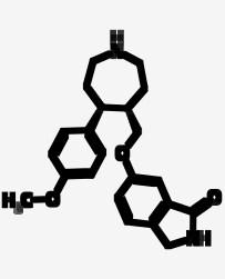 COc1ccc([C@H]2CCNCC[C@H]2COc2ccc3c(c2)C(=O)NC3)cc1